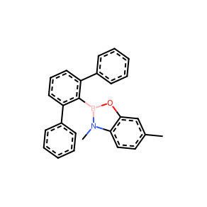 Cc1ccc2c(c1)OB(c1c(-c3ccccc3)cccc1-c1ccccc1)N2C